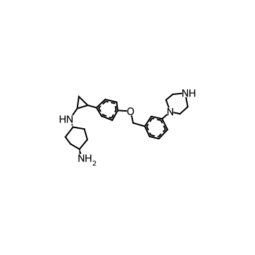 N[C@H]1CC[C@H](NC2CC2c2ccc(OCc3cccc(N4CCNCC4)c3)cc2)CC1